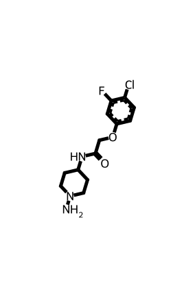 NN1CCC(NC(=O)COc2ccc(Cl)c(F)c2)CC1